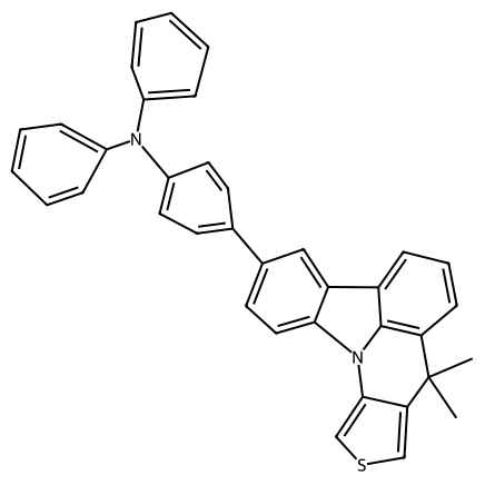 CC1(C)c2cscc2-n2c3ccc(-c4ccc(N(c5ccccc5)c5ccccc5)cc4)cc3c3cccc1c32